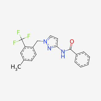 Cc1ccc(Cn2ccc(NC(=O)c3ccccc3)n2)c(C(F)(F)F)c1